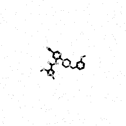 COc1cccc(CN2CCN(c3ncc(C#N)cc3NC(=O)c3cn(C)nc3OC)CC2)c1